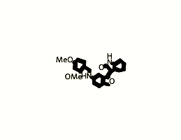 COc1ccc(CNc2ccc3c(c2)C(=C2C(=O)Nc4ccccc42)OC3)c(OC)c1